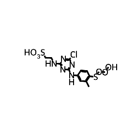 Cc1cc(Nc2nc(Cl)nc(NCCS(=O)(=O)O)n2)ccc1SOOO